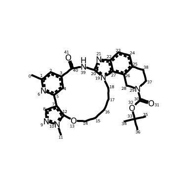 Cc1cc2cc(n1)-c1cnn(C)c1OCCCCCn1c(nc3ccc4c(c31)CN(C(=O)OC(C)(C)C)CC4)NC2=O